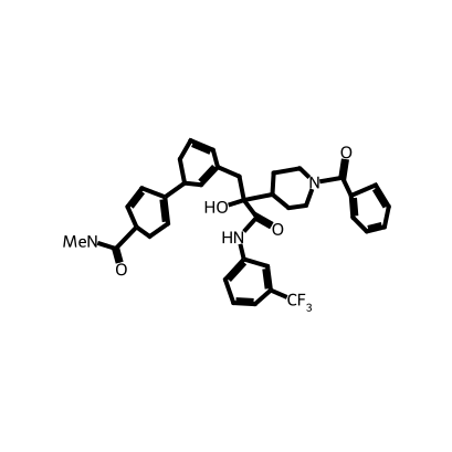 CNC(=O)C1C=CC(C2C=C(CC(O)(C(=O)Nc3cccc(C(F)(F)F)c3)C3CCN(C(=O)c4ccccc4)CC3)C=CC2)=CC1